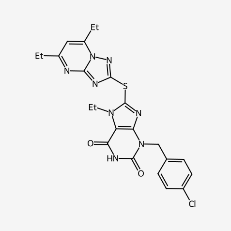 CCc1cc(CC)n2nc(Sc3nc4c(c(=O)[nH]c(=O)n4Cc4ccc(Cl)cc4)n3CC)nc2n1